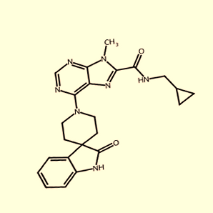 Cn1c(C(=O)NCC2CC2)nc2c(N3CCC4(CC3)C(=O)Nc3ccccc34)ncnc21